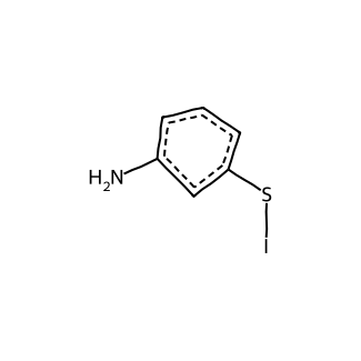 Nc1cccc(SI)c1